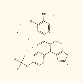 O=C(c1cnc(O)c(Cl)c1)N1CCc2sccc2C1c1ccc(OC(F)(F)F)cc1